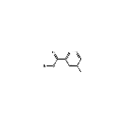 O=C(OBr)c1cccc(I)c1